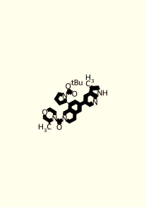 Cc1c[nH]c2ncc(-c3cc4c(c([C@@H]5CCCN5C(=O)OC(C)(C)C)c3)CN(C(=O)N3CCOC[C@@H]3C)CC4)cc12